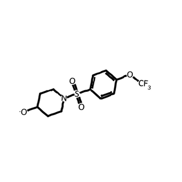 [O]C1CCN(S(=O)(=O)c2ccc(OC(F)(F)F)cc2)CC1